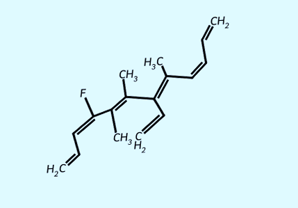 C=C\C=C/C(C)=C(C=C)/C(C)=C(C)/C(F)=C\C=C